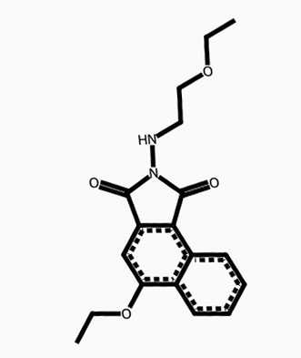 CCOCCNN1C(=O)c2cc(OCC)c3ccccc3c2C1=O